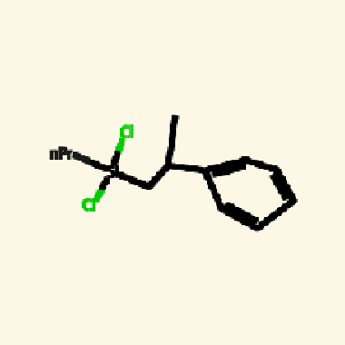 CCC[Si](Cl)(Cl)CC(C)c1ccccc1